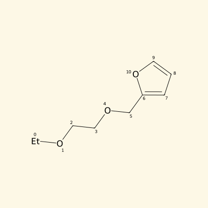 CCOCCOCc1ccco1